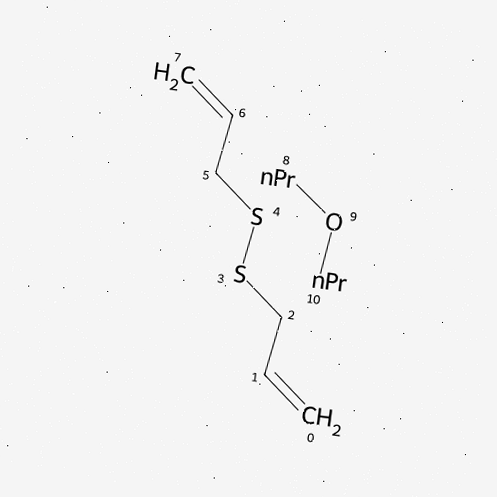 C=CCSSCC=C.CCCOCCC